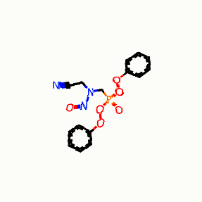 N#CCN(CP(=O)(OOc1ccccc1)OOc1ccccc1)N=O